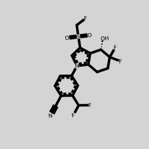 N#Cc1ccc(-n2cc(S(=O)(=O)CF)c3c2CCC(F)(F)[C@H]3O)cc1C(F)F